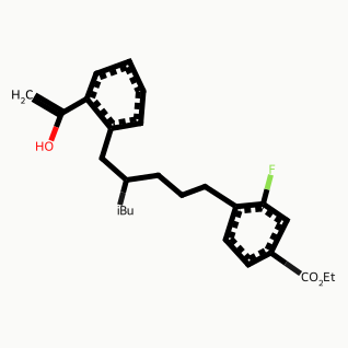 C=C(O)c1ccccc1CC(CCCc1ccc(C(=O)OCC)cc1F)C(C)CC